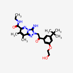 CCNC(=O)c1nn2c(=N)n(CC(=O)c3cc(OCCO)cc(C(C)(C)C)c3)nc2c(C)c1C